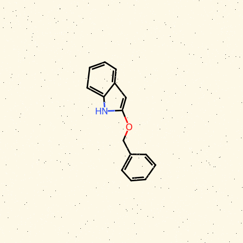 c1ccc(COc2cc3ccccc3[nH]2)cc1